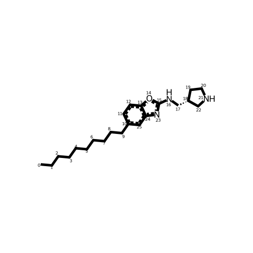 CCCCCCCCCCc1ccc2oc(NC[C@@H]3CCNC3)nc2c1